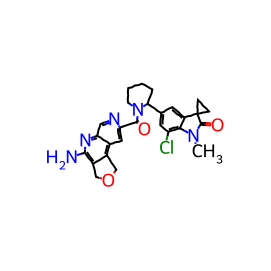 CN1C(=O)C2(CC2)c2cc(C3CCCCN3C(=O)c3cc4c5c(c(N)nc4cn3)COC5)cc(Cl)c21